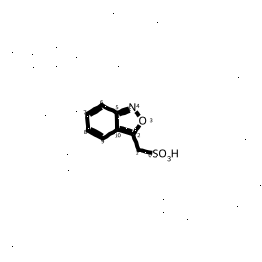 O=S(=O)(O)Cc1onc2ccccc12